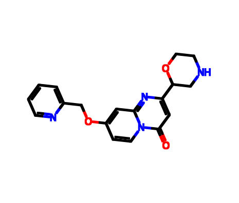 O=c1cc(C2CNCCO2)nc2cc(OCc3ccccn3)ccn12